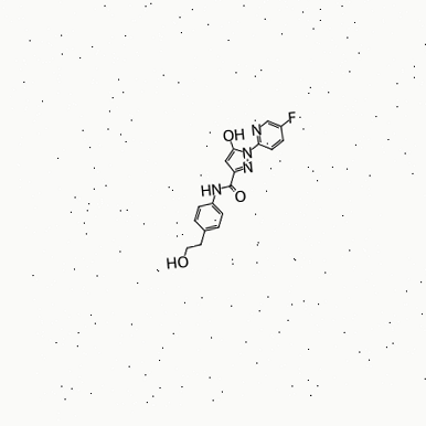 O=C(Nc1ccc(CCO)cc1)c1cc(O)n(-c2ccc(F)cn2)n1